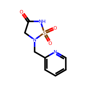 O=C1CN(Cc2ccccn2)S(=O)(=O)N1